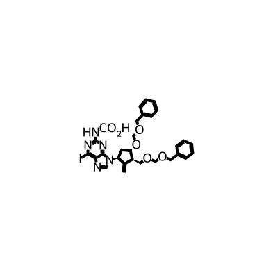 C=C1[C@H](COCOCc2ccccc2)[C@@H](OCOCc2ccccc2)C[C@@H]1n1cnc2c(I)nc(NC(=O)O)nc21